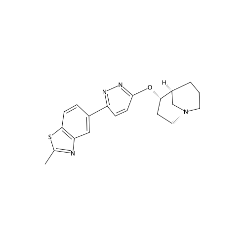 Cc1nc2cc(-c3ccc(O[C@H]4CC[N@@]5CCC[C@H]4C5)nn3)ccc2s1